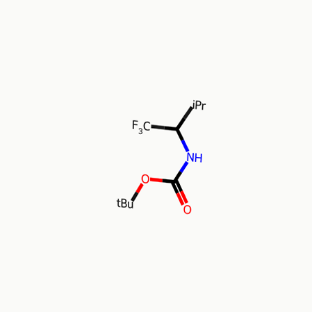 CC(C)C(NC(=O)OC(C)(C)C)C(F)(F)F